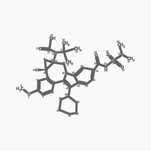 COc1ccc2c(c1)[C@@H]1C[C@]1(N(C(=O)O)C(C)(C)C)Cn1c-2c(C2CCCCC2)c2ccc(C(=O)NS(=O)(=O)N(C)C)cc21